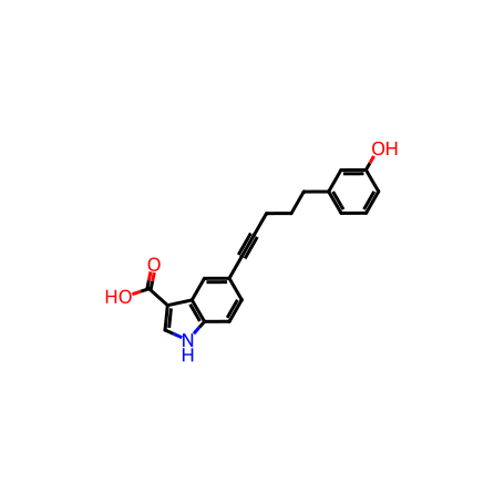 O=C(O)c1c[nH]c2ccc(C#CCCCc3cccc(O)c3)cc12